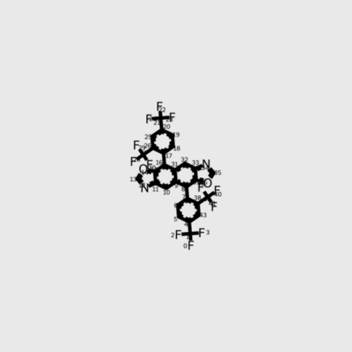 FC(F)(F)c1ccc(-c2c3cc4ncoc4c(-c4ccc(C(F)(F)F)cc4C(F)(F)F)c3cc3ncoc23)c(C(F)(F)F)c1